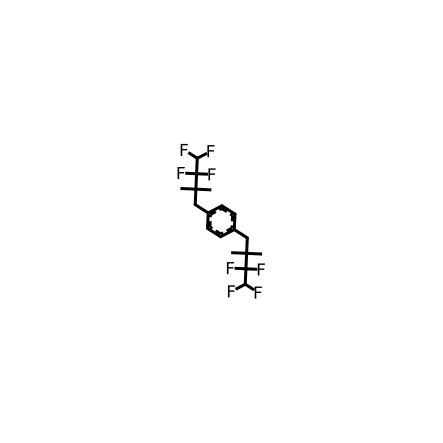 CC(C)(Cc1ccc(CC(C)(C)C(F)(F)C(F)F)cc1)C(F)(F)C(F)F